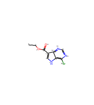 CCOC(=O)c1c[nH]c2c(Br)ncnc12